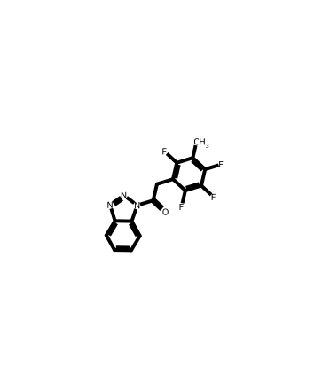 Cc1c(F)c(F)c(F)c(CC(=O)n2nnc3ccccc32)c1F